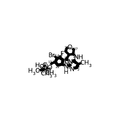 Cc1cnc(Nc2cc(F)c(Br)c(CO[Si](C)(C)C(C)(C)C)c2)nc1NC1COCCC1C#N